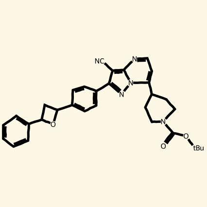 CC(C)(C)OC(=O)N1CCC(c2ccnc3c(C#N)c(-c4ccc(C5CC(c6ccccc6)O5)cc4)nn23)CC1